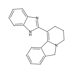 c1ccc2c(c1)CN1CCCC(c3nc4ccccc4[nH]3)=C21